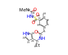 CCC(NC(=O)Cc1ccc(C)c(S(=O)(=O)NC(=O)NC)c1)c1cc[nH]c1